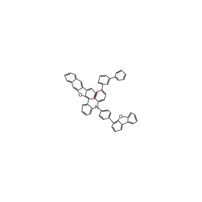 c1ccc(-c2cccc(-c3ccc(N(c4ccc(-c5cccc6c5oc5ccccc56)cc4)c4ccccc4-c4cccc5c4oc4cc6ccccc6cc45)cc3)c2)cc1